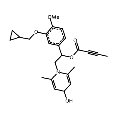 CC#CC(=O)OC(CN1C(C)=CC(O)C=C1C)c1ccc(OC)c(OCC2CC2)c1